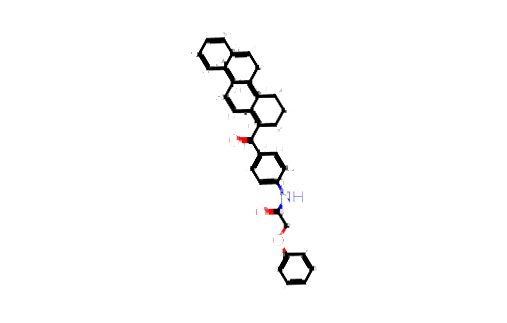 O=C(COc1ccccc1)Nc1ccc(C(=O)C2=c3ccc4c(c3CCC2)CC=c2ccccc2=4)cc1